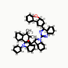 C=C(/C=C\c1cn(-c2nc(-c3ccc4oc5ccccc5c4c3)c3ccccc3n2)c2ccccc12)C(=C)c1ccccc1-c1cc2ccccc2n1-c1ccccc1